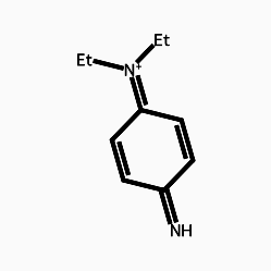 CC[N+](CC)=C1C=CC(=N)C=C1